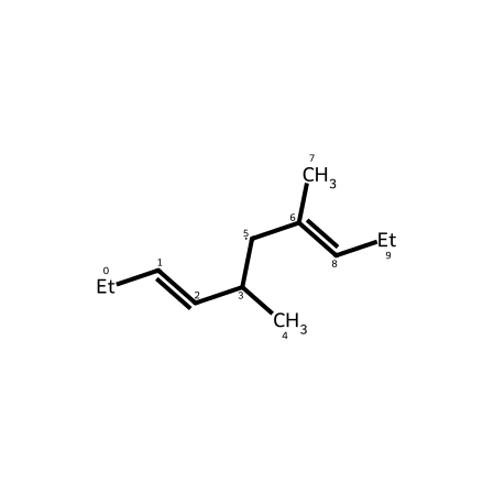 CCC=CC(C)[CH]C(C)=CCC